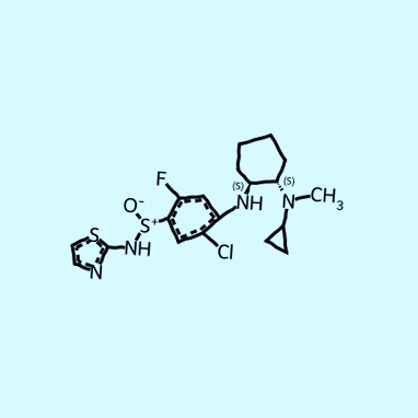 CN(C1CC1)[C@H]1CCCC[C@@H]1Nc1cc(F)c([S+]([O-])Nc2nccs2)cc1Cl